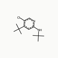 CC(C)(C)Nc1cc(C(C)(C)C)c(Cl)cn1